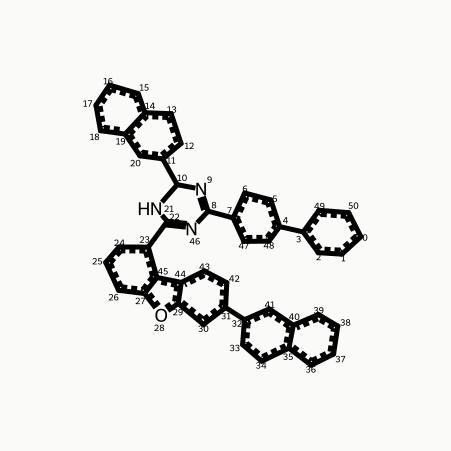 c1ccc(-c2ccc(C3=NC(c4ccc5ccccc5c4)NC(c4cccc5oc6cc(-c7ccc8ccccc8c7)ccc6c45)=N3)cc2)cc1